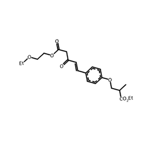 CCOCCOC(=O)CC(=O)C=Cc1ccc(OCC(C)C(=O)OCC)cc1